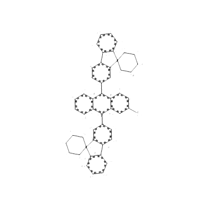 Ic1ccc2c(-c3ccc4c(c3)C3(CCCCC3)c3ccccc3-4)c3ccccc3c(-c3ccc4c(c3)C3(CCCCC3)c3ccccc3-4)c2c1